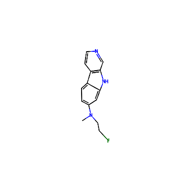 CN(CCF)c1ccc2c(c1)[nH]c1cnccc12